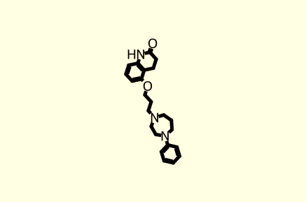 O=C1CCc2c(cccc2OCCCN2CCCN(c3ccccc3)CC2)N1